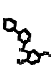 Cc1ccc(C)c(Nc2nccc(-c3ccncc3)n2)c1